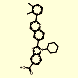 Cc1cccc(-c2ccc3cc(-c4nc5cc(C(=O)O)ccc5n4C4CCCCC4)ccc3n2)c1C